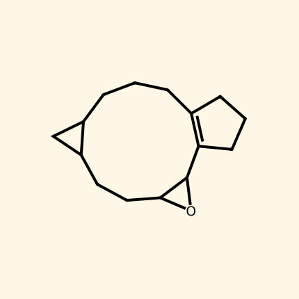 C1CC2=C(C1)C1OC1CCC1CC1CCC2